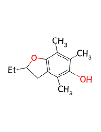 CCC1Cc2c(C)c(O)c(C)c(C)c2O1